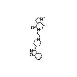 CC1CN(CCN2CCC(c3noc4ccccc34)CC2)C(=O)c2ccn(C)c21